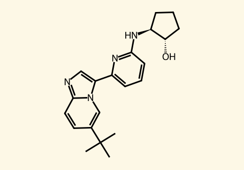 CC(C)(C)c1ccc2ncc(-c3cccc(N[C@H]4CCC[C@@H]4O)n3)n2c1